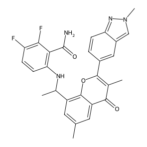 Cc1cc(C(C)Nc2ccc(F)c(F)c2C(N)=O)c2oc(-c3ccc4nn(C)cc4c3)c(C)c(=O)c2c1